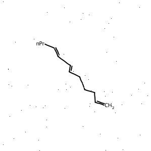 C=CCCCC=CC=CCCC